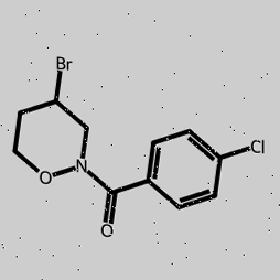 O=C(c1ccc(Cl)cc1)N1CC(Br)CCO1